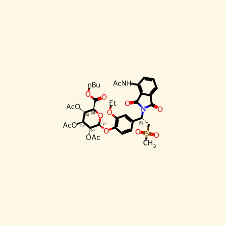 CCCCOC(=O)[C@H]1O[C@@H](Oc2ccc([C@@H](CS(C)(=O)=O)N3C(=O)c4cccc(NC(C)=O)c4C3=O)cc2OCC)[C@H](OC(C)=O)[C@@H](OC(C)=O)[C@@H]1OC(C)=O